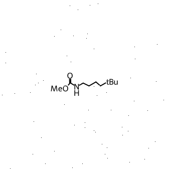 COC(=O)NCCCCC(C)(C)C